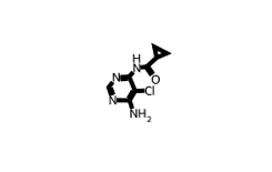 Nc1ncnc(NC(=O)C2CC2)c1Cl